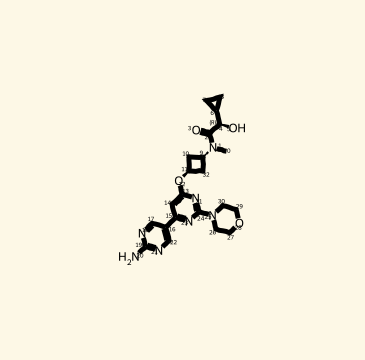 CN(C(=O)[C@H](O)C1CC1)[C@H]1C[C@H](Oc2cc(-c3cnc(N)nc3)nc(N3CCOCC3)n2)C1